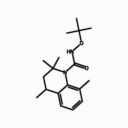 Cc1cccc2c1N(C(=O)NOC(C)(C)C)C(C)(C)CC2C